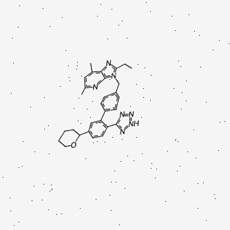 CCc1nc2c(C)cc(C)nc2n1Cc1ccc(-c2cc(C3CCCCO3)ccc2-c2nn[nH]n2)cc1